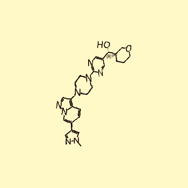 Cn1cc(-c2ccc3c(N4CCN(c5ncc([C@H](O)[C@@H]6CCCOC6)cn5)CC4)cnn3c2)cn1